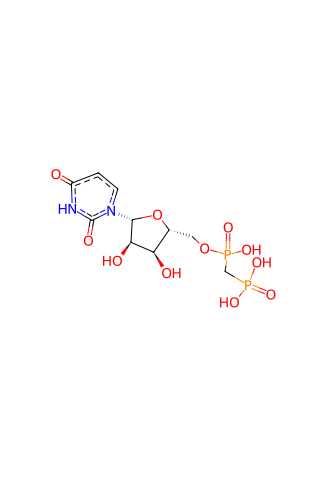 O=c1ccn([C@@H]2O[C@H](COP(=O)(O)CP(=O)(O)O)[C@@H](O)[C@H]2O)c(=O)[nH]1